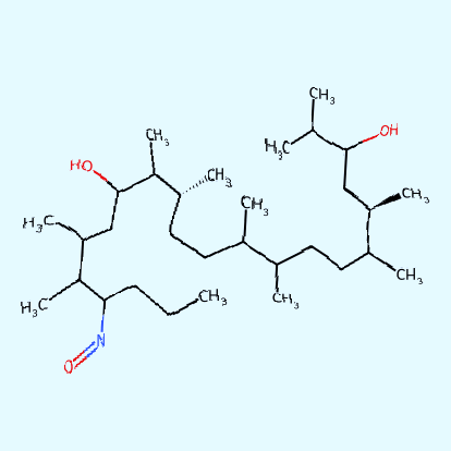 CCCC(N=O)C(C)C(C)CC(O)C(C)[C@H](C)CCC(C)C(C)CCC(C)[C@H](C)CC(O)C(C)C